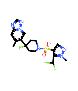 Cc1cc2ncnn2cc1C1(F)CCN(S(=O)(=O)c2cnn(C)c2C(F)F)CC1